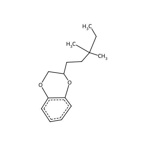 CCC(C)(C)CCC1COc2ccccc2O1